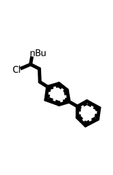 CCCCC(Cl)CCc1ccc(-c2ccccc2)cc1